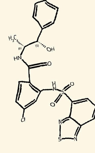 C[C@@H](NC(=O)c1ccc(Cl)cc1NS(=O)(=O)c1cccc2nsnc12)[C@@H](O)c1ccccc1